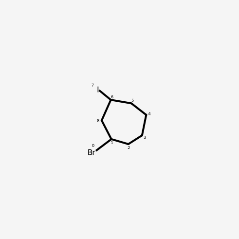 BrC1CCCCC(I)C1